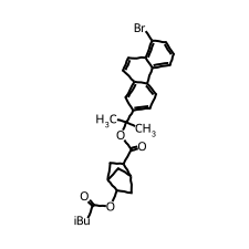 CCC(C)C(=O)OC1CC2CC1CC2C(=O)OC(C)(C)c1ccc2c(ccc3c(Br)cccc32)c1